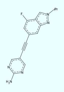 CC(C)n1cc2c(F)cc(C#Cc3cnc(N)nc3)cc2n1